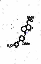 CNC(=O)CC1CON=C2/C(=C/c3ccc(-n4cnc(C)c4)c(OC)c3)CCCN21